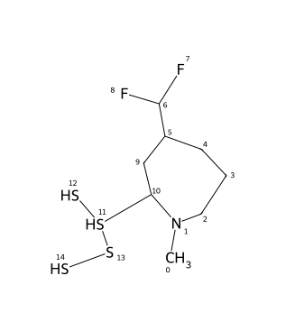 CN1CCCC(C(F)F)CC1[SH](S)SS